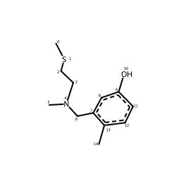 CSCCN(C)Cc1cc(O)ccc1C